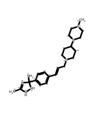 CN1CCN(C2CCN(CC=Cc3ccc(C4(N)N=C(N)NN4)cc3)CC2)CC1